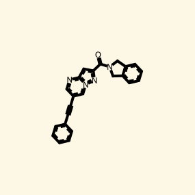 O=C(c1cc2ncc(C#Cc3ccccc3)cn2n1)N1Cc2ccccc2C1